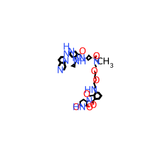 CN(CCOCCOCCNc1cccc2c1C(=O)N(C1CCC(=O)NC1=O)C2=O)C(=O)[C@H]1C[C@H](NC(=O)c2cnc(Nc3ccc4cnccc4n3)cc2NC2CC2)C1